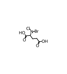 O=C(O)CCC(C(=O)O)N(Cl)Br